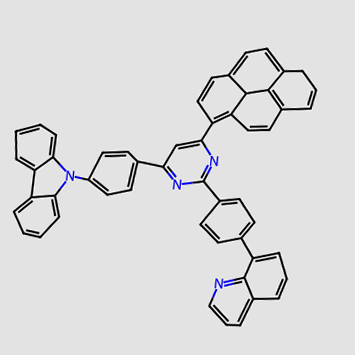 C1=CC2=C3C(=CC=C4C=CC(c5cc(-c6ccc(-n7c8ccccc8c8ccccc87)cc6)nc(-c6ccc(-c7cccc8cccnc78)cc6)n5)=C(C=C2)C43)C1